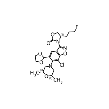 C[C@@H]1CN(c2c(C3OCCO3)cc3c(N4C(=O)OC[C@@H]4CCCF)noc3c2Cl)C[C@@H](C)O1